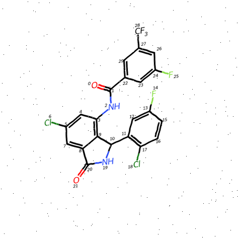 O=C(Nc1cc(Cl)cc2c1C(c1cc(F)ccc1Cl)NC2=O)c1cc(F)cc(C(F)(F)F)c1